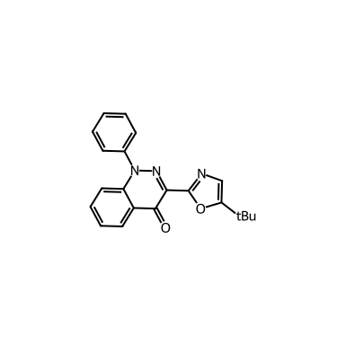 CC(C)(C)c1cnc(-c2nn(-c3ccccc3)c3ccccc3c2=O)o1